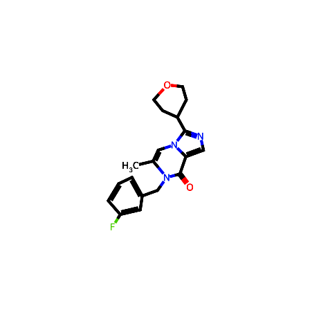 Cc1cn2c(C3CCOCC3)ncc2c(=O)n1Cc1cccc(F)c1